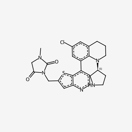 CN1CC(=O)N(Cc2cc3nccc(-c4cc(Cl)cc5c4N([C@H]4CCNC4)CCC5)c3s2)C1=O